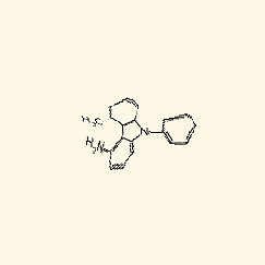 C[C@@H]1CC=Cc2c1c1c(N)cccc1n2-c1ccccc1